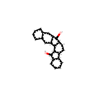 O=c1c2cc3ccccc3cc2c2c1ccc1c3ccccc3c(=O)c12